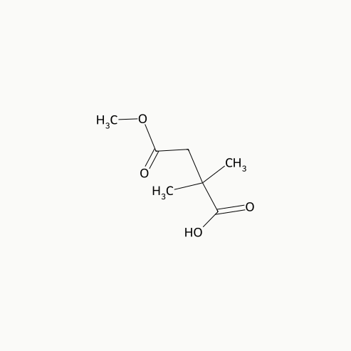 COC(=O)CC(C)(C)C(=O)O